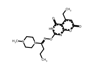 CCC/C(=N\Oc1nc2oc(=O)cc(CC)c2c(=O)[nH]1)N1CCN(C)CC1